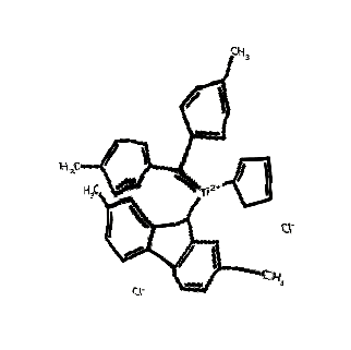 Cc1ccc([C](c2ccc(C)cc2)=[Ti+2]([C]2=CC=CC2)[CH]2c3cc(C)ccc3-c3ccc(C)cc32)cc1.[Cl-].[Cl-]